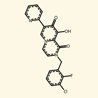 O=c1c(-c2ccccn2)cn2ccn(Cc3cccc(Cl)c3F)c(=O)c2c1O